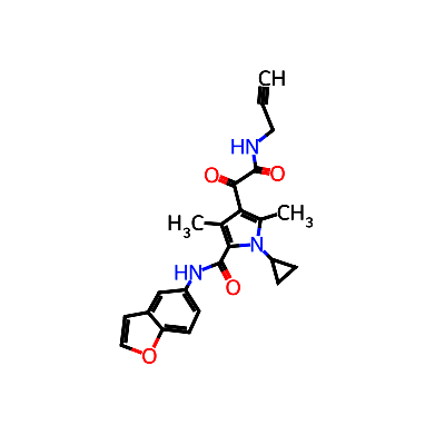 C#CCNC(=O)C(=O)c1c(C)c(C(=O)Nc2ccc3occc3c2)n(C2CC2)c1C